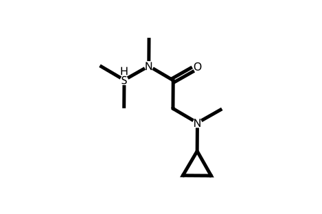 CN(CC(=O)N(C)[SH](C)C)C1CC1